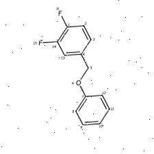 Fc1ccc(COc2cc[c]cc2)cc1F